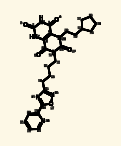 O=c1[nH]c(=O)c2c([nH]1)c(=O)n(CCCCc1noc(-c3ccccn3)n1)c(=O)n2CCC1CCCC1